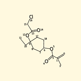 C=C(C)C(=O)OC1CCC(CC)(OC(=O)CCl)CC1